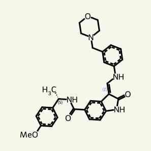 COc1ccc([C@H](C)NC(=O)c2ccc3c(c2)/C(=C/Nc2cccc(CN4CCOCC4)c2)C(=O)N3)cc1